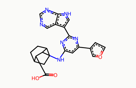 O=C(O)C1C2CCC(CC2)C1Nc1cc(-c2ccoc2)nc(-c2c[nH]c3ncncc23)n1